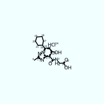 Cc1nc2c(C(=O)NCC(=O)O)c(O)cc(C3CCCCC3)n2n1.Cl